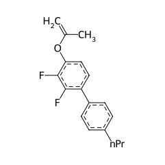 C=C(C)Oc1ccc(-c2ccc(CCC)cc2)c(F)c1F